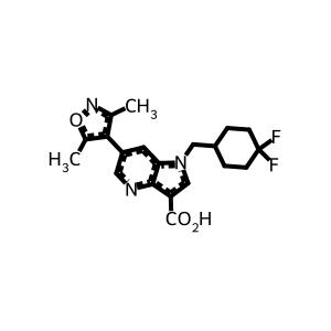 Cc1noc(C)c1-c1cnc2c(C(=O)O)cn(CC3CCC(F)(F)CC3)c2c1